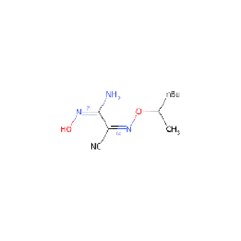 CCCCC(C)O/N=C(C#N)\C(N)=N/O